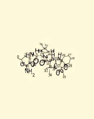 CCCC(NC(=O)C1[C@@H]2C[C@H](CN1C(=O)[C@@H](NC(=O)NC1(CS(C)(=O)=O)CCCCC1)C(C)(C)C)C2(C)C)C(=O)C(N)=O